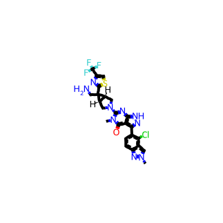 Cn1cc2c(Cl)c(-c3n[nH]c4nc(N5C[C@@H]6[C@H](C5)C6(CN)c5nc(C(F)(F)F)cs5)n(C)c(=O)c34)ccc2n1